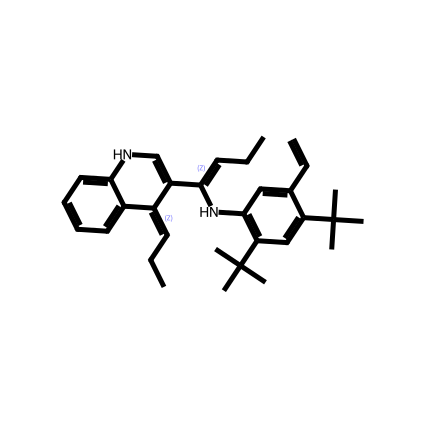 C=Cc1cc(N/C(=C\CC)C2=CNc3ccccc3/C2=C\CC)c(C(C)(C)C)cc1C(C)(C)C